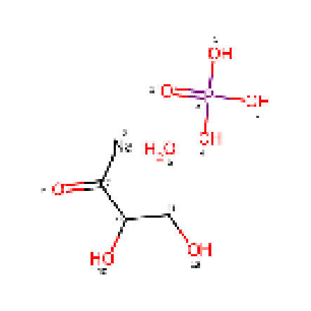 O.O=P(O)(O)O.O=[C]([Na])C(O)CO